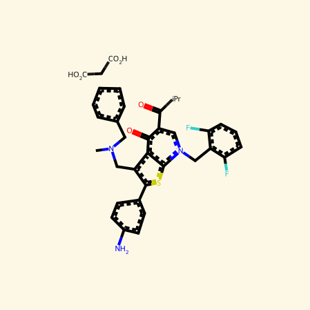 CC(C)C(=O)c1cn(Cc2c(F)cccc2F)c2sc(-c3ccc(N)cc3)c(CN(C)Cc3ccccc3)c2c1=O.O=C(O)CC(=O)O